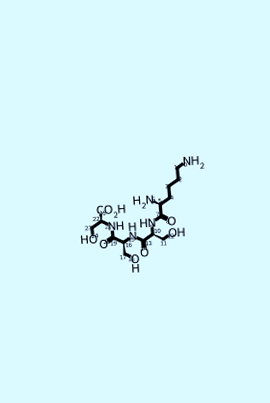 NCCCC[C@H](N)C(=O)N[C@@H](CO)C(=O)N[C@@H](CO)C(=O)N[C@@H](CO)C(=O)O